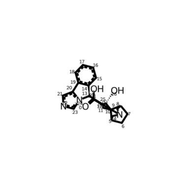 O=C(O)N1CC2CCC(C1)C21C[C@@H]([C@@H]2c3ccccc3-c3cncn32)[C@@H]1O